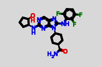 NC(=O)[C@H]1CC[C@H](n2c(Nc3c(F)ccc(F)c3F)nc3cnc(N[C@@H]4CCC[C@H]4O)nc32)CC1